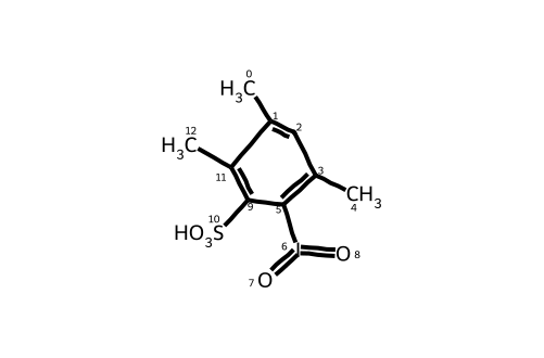 Cc1cc(C)c(I(=O)=O)c(S(=O)(=O)O)c1C